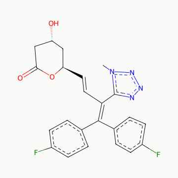 Cn1nnnc1C(/C=C/[C@@H]1C[C@@H](O)CC(=O)O1)=C(c1ccc(F)cc1)c1ccc(F)cc1